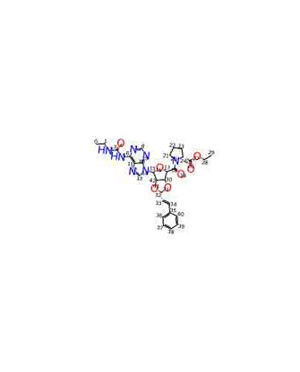 CCNC(=O)Nc1ncnc2c1ncn2C1OC(C(=O)N2CCC[C@@H]2C(=O)OCC)C2O[C@H](/C=C/c3ccccc3)OC21